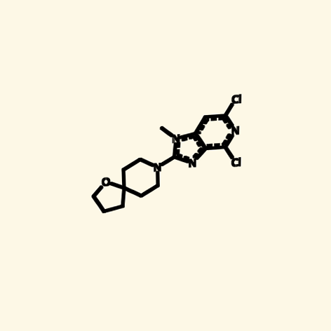 Cn1c(N2CCC3(CCCO3)CC2)nc2c(Cl)nc(Cl)cc21